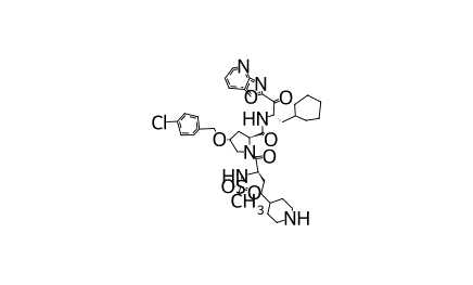 CS(=O)(=O)N[C@H](CCC1CCNCC1)C(=O)N1C[C@H](OCc2ccc(Cl)cc2)C[C@H]1C(=O)N[C@@H](CC1CCCCC1)C(=O)c1nc2ncccc2o1